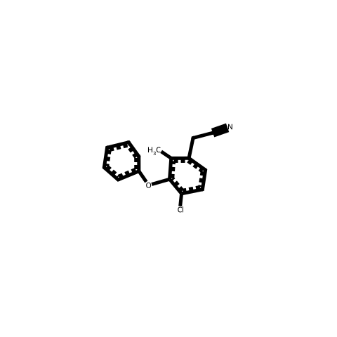 Cc1c(CC#N)ccc(Cl)c1Oc1ccccc1